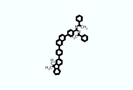 C=C(/N=C(\N=C(/C)c1ccccc1)c1ccc(-c2ccc3ccc(-c4ccc(-c5ccc6c(c5)C(C)(C)c5ccccc5-6)cc4)cc3c2)cc1)c1ccccc1